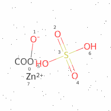 O=C([O-])[O-].O=S(=O)(O)O.[Zn+2]